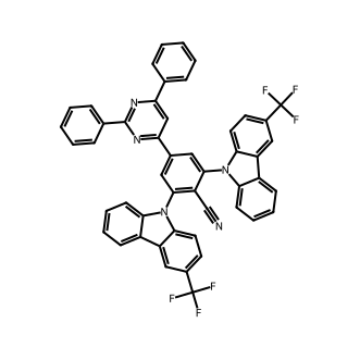 N#Cc1c(-n2c3ccccc3c3cc(C(F)(F)F)ccc32)cc(-c2cc(-c3ccccc3)nc(-c3ccccc3)n2)cc1-n1c2ccccc2c2cc(C(F)(F)F)ccc21